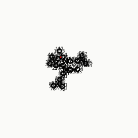 C1=CC(N(c2ccc(-c3ccccc3)cc2)c2cc(-c3cccc4c3-c3ccccc3C43c4ccccc4-c4ccccc43)cc(N(c3ccc(-c4ccccc4)cc3)c3ccc(-c4ccc5c(c4)c4ccccc4n5-c4ccccc4)cc3)c2)CC=C1c1ccc2c(c1)c1ccccc1n2-c1ccccc1